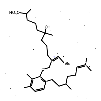 CCCC/C=C(/CCCC(C)(O)CCCC(C)C(=O)O)COc1c(CCC(C)CCC=C(C)C)ccc(C)c1C